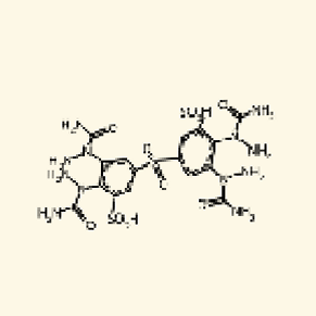 NC(=O)N(N)c1cc(S(=O)(=O)c2cc(N(N)C(N)=O)c(N(N)C(N)=O)c(S(=O)(=O)O)c2)cc(S(=O)(=O)O)c1N(N)C(N)=O